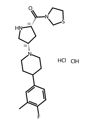 Cc1cc(C2CCN([C@@H]3CN[C@H](C(=O)N4CCSC4)C3)CC2)ccc1F.Cl.Cl